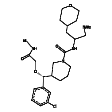 CCNC(=O)CO[C@@H](c1cccc(Cl)c1)C1CCCN(C(=O)NC(CNC)CC2CCOCC2)C1